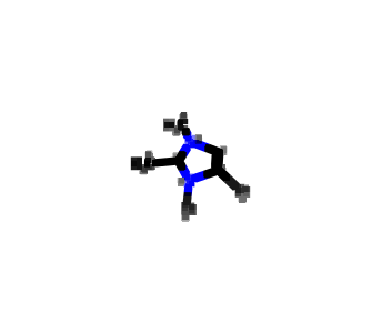 CCC1=CN(C)C(C)N1CC